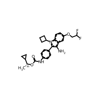 C[C@@H](OC(=O)Nc1ccc(-c2c(N)c3cc(OCC(F)F)ccc3n2C2CCC2)cc1)C1CC1